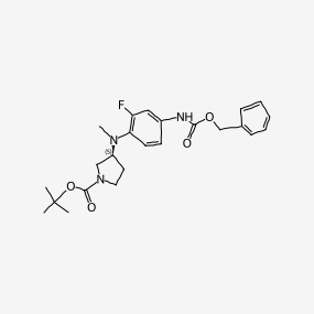 CN(c1ccc(NC(=O)OCc2ccccc2)cc1F)[C@H]1CCN(C(=O)OC(C)(C)C)C1